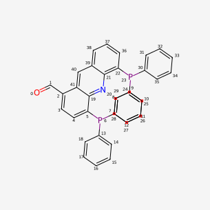 O=Cc1ccc(P(c2ccccc2)c2ccccc2)c2nc3c(P(c4ccccc4)c4ccccc4)cccc3cc12